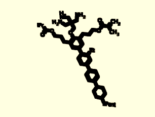 C=C(C)C(=O)OCCCc1cc(-c2ccc(-c3ccc(C4CCC(CCCCC)CC4)cc3)cc2CC)cc(CCCOC(=O)C(C)C)c1OCC(CN)(CN)CN